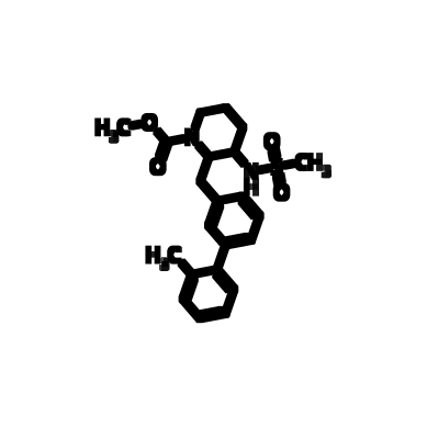 COC(=O)N1CCCC(NS(C)(=O)=O)C1Cc1cccc(-c2ccccc2C)c1